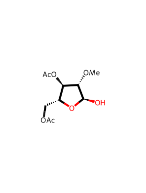 CO[C@H]1[C@H](OC(C)=O)[C@@H](COC(C)=O)O[C@@H]1O